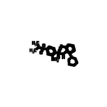 CN(C)S(=O)(=O)c1ccc(S(=O)(=O)Nc2c(F)cccc2N2CCCCC2)c([N+](=O)[O-])c1